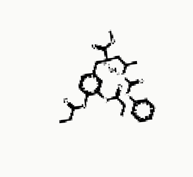 CCC(=O)Oc1ccc(C[C@](N)(CC(C)OC(=O)Oc2ccccc2)C(=O)OC)cc1OC(=O)CC